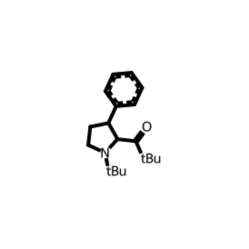 CC(C)(C)C(=O)C1C(c2ccccc2)CCN1C(C)(C)C